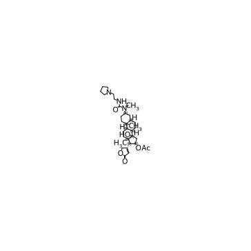 CC(=O)O[C@@H]1C[C@@]2(O)[C@@H]3CC[C@@H]4C[C@H](N(C)C(=O)NCCN5CCCC5)CC[C@@]4(C)[C@@H]3CC[C@]2(C)[C@H]1C1=CC(=O)OC1